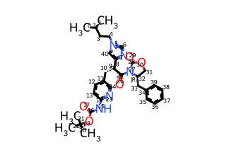 CC(C)CCn1cnc([C@@H](Cc2ccc(NC(=O)OC(C)(C)C)nc2)C(=O)N2C(=O)OC[C@H]2Cc2ccccc2)c1